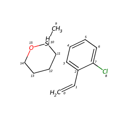 C=Cc1ccccc1Cl.C[SiH]1CCCCO1